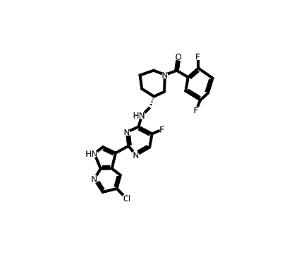 O=C(c1cc(F)ccc1F)N1CCC[C@@H](CNc2nc(-c3c[nH]c4ncc(Cl)cc34)ncc2F)C1